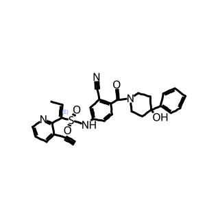 C#Cc1cccnc1/C(=C\C)S(=O)(=O)Nc1ccc(C(=O)N2CCC(O)(c3ccccc3)CC2)c(C#N)c1